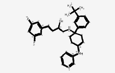 CC(C)(C)c1cccc(C2(NCC(O)CCc3cc(F)cc(F)c3)CCC(Nc3cccnc3)CC2)c1